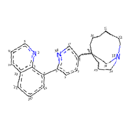 c1cnc2c(-c3ccc(C45CCCN(CC4)C5)cn3)cccc2c1